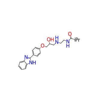 CC(C)C(=O)NCCNCC(O)COc1ccc(-c2nc3ccccc3[nH]2)cc1